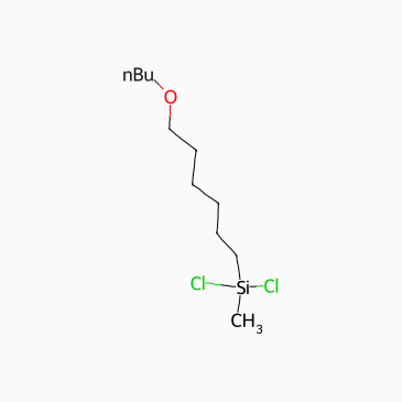 CCCCOCCCCCC[Si](C)(Cl)Cl